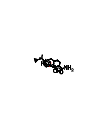 C[C@H](C1CC1)N1CCC23CC(=O)CCC2(O)C1Cc1ccc(C(N)=O)c(O)c13